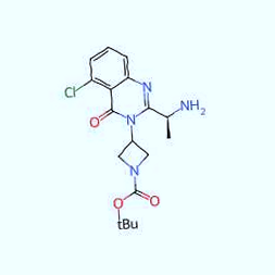 C[C@H](N)c1nc2cccc(Cl)c2c(=O)n1C1CN(C(=O)OC(C)(C)C)C1